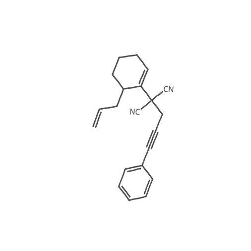 C=CCC1CCCC=C1C(C#N)(C#N)CC#Cc1ccccc1